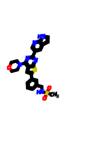 CS(=O)(=O)NCc1cccc(-c2cc3c(N4CCOCC4)nc(-c4cnc5[nH]ccc5c4)nc3s2)c1